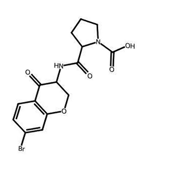 O=C1c2ccc(Br)cc2OCC1NC(=O)C1CCCN1C(=O)O